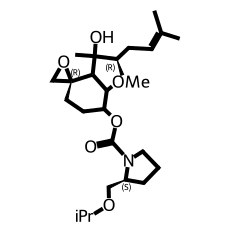 COC1C(OC(=O)N2CCC[C@H]2COC(C)C)CC[C@]2(CO2)C1C(C)(O)[C@H](C)CC=C(C)C